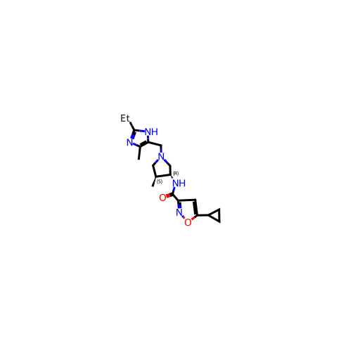 CCc1nc(C)c(CN2C[C@H](NC(=O)c3cc(C4CC4)on3)[C@@H](C)C2)[nH]1